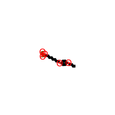 C=CCCOc1ccc(OCCCCCCCCOS(C)(=O)=O)cc1